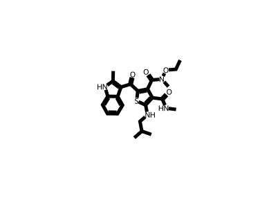 CCON(C)C(=O)c1c(C(=O)c2c(C)[nH]c3ccccc23)sc(NCC(C)C)c1C(=O)NC